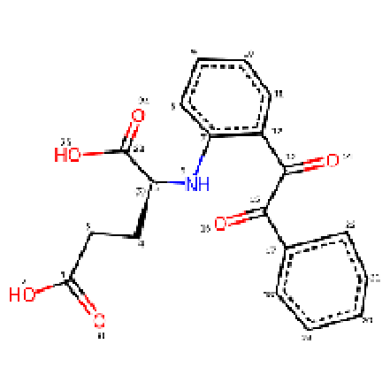 O=C(O)CC[C@H](Nc1ccccc1C(=O)C(=O)c1ccccc1)C(=O)O